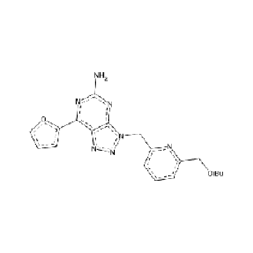 CC(C)COCc1cccc(Cn2nnc3c(-c4ccco4)nc(N)nc32)n1